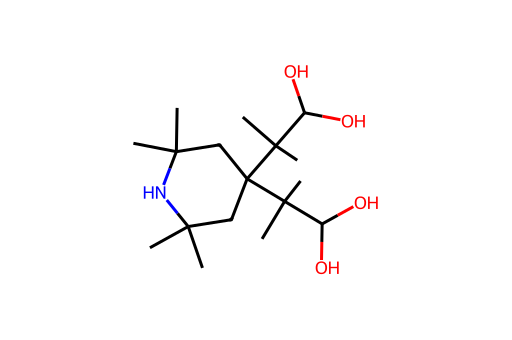 CC1(C)CC(C(C)(C)C(O)O)(C(C)(C)C(O)O)CC(C)(C)N1